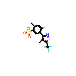 Cc1cc(F)c(-c2noc(C(F)(F)F)c2C)cc1S(=O)(=O)Cl